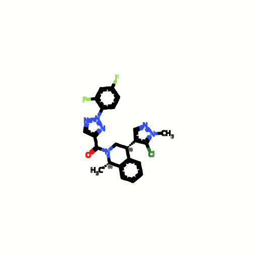 C[C@H]1c2ccccc2[C@@H](c2cnn(C)c2Cl)CN1C(=O)c1cnn(-c2ccc(F)cc2F)n1